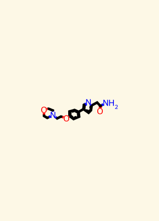 NC(=O)Cc1ccc(-c2ccc(OCCN3CCOCC3)cc2)cn1